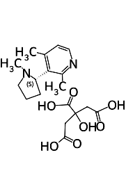 Cc1ccnc(C)c1[C@@H]1CCCN1C.O=C(O)CC(O)(CC(=O)O)C(=O)O